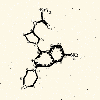 NC(=O)OC1CCN(c2nc(N3CCOCC3)cc3cc([N+](=O)[O-])ccc23)C1